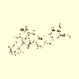 Cc1cc(Oc2ccc(-c3nn(C4CCCNC4)c(N)c3C(N)=O)cc2)ccc1Cl